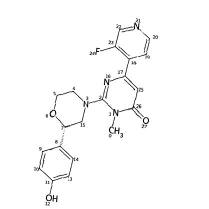 Cn1c(N2CCO[C@@H](c3ccc(O)cc3)C2)nc(-c2ccncc2F)cc1=O